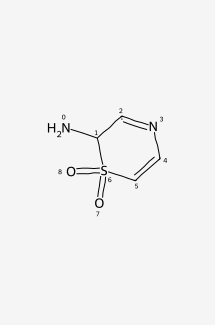 NC1[C]=NC=CS1(=O)=O